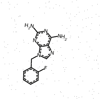 Nc1nc(N)c2ncn(Cc3ccccc3F)c2n1